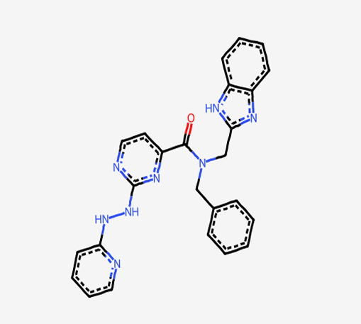 O=C(c1ccnc(NNc2ccccn2)n1)N(Cc1ccccc1)Cc1nc2ccccc2[nH]1